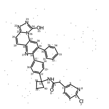 O=C(Cc1ccc(Cl)nc1)NC1(c2ccc(-c3nc4ccc5nnc(O)n5c4cc3-c3ccccc3)cc2)CCC1